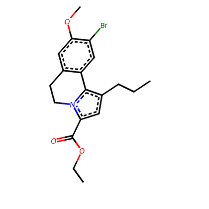 CCCc1cc(C(=O)OCC)n2c1-c1cc(Br)c(OC)cc1CC2